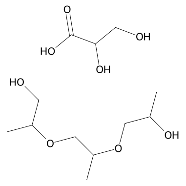 CC(O)COC(C)COC(C)CO.O=C(O)C(O)CO